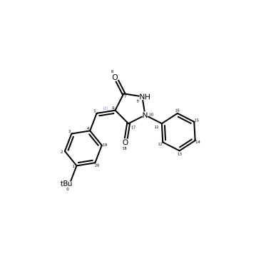 CC(C)(C)c1ccc(/C=C2/C(=O)NN(c3ccccc3)C2=O)cc1